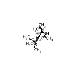 CCO[Si](C)(CCCN/C(=N\C(C)C)NC(C)C)OCC